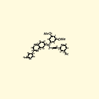 COc1cc(OC)cc(N(CC#Cc2cc(C(C)=O)ccn2)c2ccc3ncc(-c4cnn(C)c4)nc3c2)c1